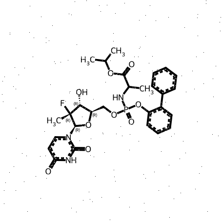 CC(C)OC(=O)C(C)NP(=O)(OC[C@H]1O[C@@H](n2ccc(=O)[nH]c2=O)[C@](C)(F)[C@@H]1O)Oc1ccccc1-c1ccccc1